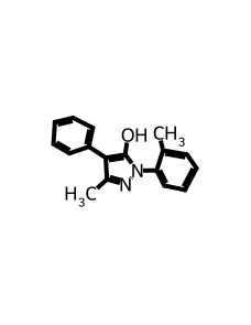 Cc1ccccc1-n1nc(C)c(-c2ccccc2)c1O